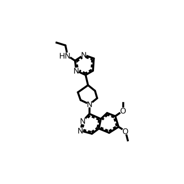 CCNc1nccc(C2CCN(c3nncc4cc(OC)c(OC)cc34)CC2)n1